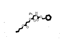 C=CCCOC(=O)CCOC(=O)[C@@H](NC(=O)OCc1ccccc1)C(C)C